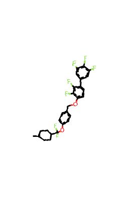 CC1CCC(C(F)(F)Oc2ccc(COc3ccc(-c4cc(F)c(F)c(F)c4)c(F)c3F)cc2)CC1